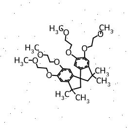 COCCOc1cc2c(cc1OCCOC)C1(CC2(C)C)CC(C)(C)c2cc(OCCOC)c(OCCOC)cc21